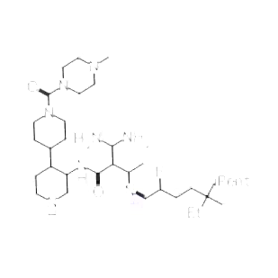 CCCC(C)C(C)(CC)CCC(F)/C=N\C(C)C(C(=O)NC1CNCCC1C1CCN(C(=O)N2CCN(C)CC2)CC1)C(N)N